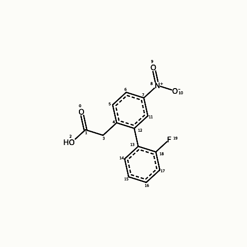 O=C(O)Cc1ccc([N+](=O)[O-])cc1-c1ccccc1F